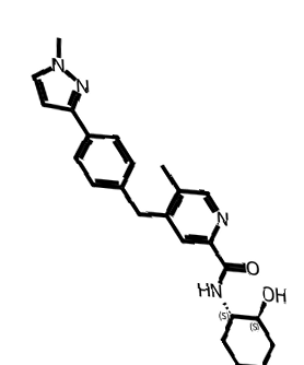 Cc1cnc(C(=O)N[C@H]2CCCC[C@@H]2O)cc1Cc1ccc(-c2ccn(C)n2)cc1